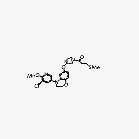 COc1ncc(N2CCOc3ccc(O[C@H]4CCN(C(=O)CCSC)C4)cc32)cc1Cl